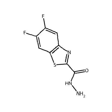 NNC(=O)c1nc2cc(F)c(F)cc2s1